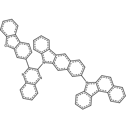 c1ccc2c(c1)ccc1c2c2ccccc2n1-c1ccc2cc3c4ccccc4n(-c4nc5ccccc5nc4-c4ccc5c(c4)oc4ccccc45)c3cc2c1